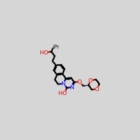 CC(C)C(O)CCc1ccc2c(c1)CCN1C2=CC(OC[C@@H]2COCCO2)=NC1O